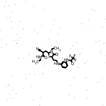 CCNC(=O)C(C#N)CC1SC(CCNc2cccc(NC(=O)C(F)(F)F)c2)C(=O)N1CC